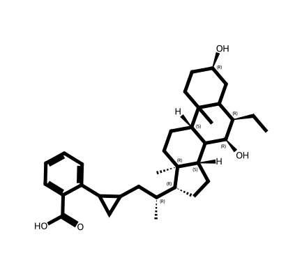 CC[C@@H]1C2C[C@H](O)CCC2(C)[C@H]2CC[C@]3(C)[C@@H]([C@H](C)CC4CC4c4ccccc4C(=O)O)CC[C@H]3C2[C@@H]1O